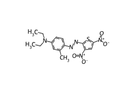 CCN(CC)c1ccc(/N=N/c2sc([N+](=O)[O-])cc2[N+](=O)[O-])c(C)c1